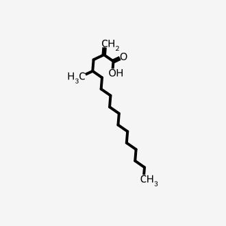 C=C(CC(C)CCCCCCCCCCCC)C(=O)O